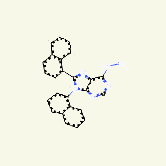 NNc1ncnc2c1nc(-c1cccc3ccccc13)n2-c1cccc2ccccc12